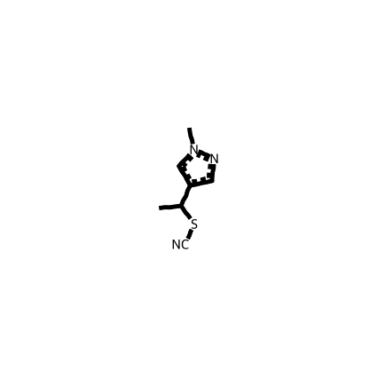 CC(SC#N)c1cnn(C)c1